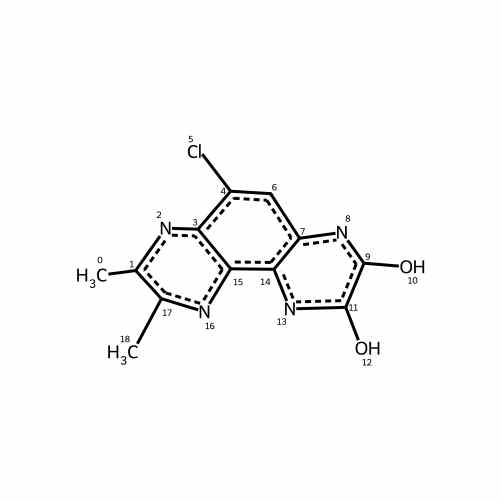 Cc1nc2c(Cl)cc3nc(O)c(O)nc3c2nc1C